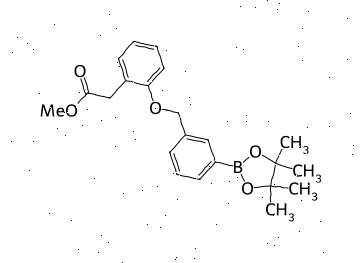 COC(=O)Cc1ccccc1OCc1cccc(B2OC(C)(C)C(C)(C)O2)c1